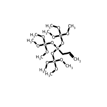 C=CC[Si](O[Si](OC)(OC)OC)(O[Si](OC)(OC)OC)O[Si](OC)(OC)OC